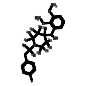 [2H]C([2H])(Cc1ccc(F)cc1)N1C([2H])([2H])C([2H])([2H])C([2H])(C(O)c2cccc(OC)c2OC)C([2H])([2H])C1([2H])[2H]